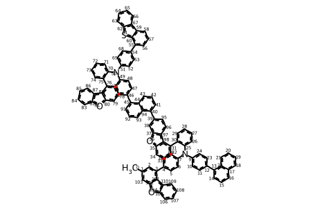 Cc1cc(-c2ccc(N(c3ccc(-c4cccc5ccccc45)cc3)c3ccccc3-c3cccc4oc5cc(-c6cccc7c(-c8ccc(N(c9ccc(-c%10cccc%11c%10sc%10ccccc%10%11)cc9)c9ccccc9-c9cccc%10oc%11ccccc%11c9%10)cc8)cccc67)ccc5c34)cc2)c2c(c1)oc1ccccc12